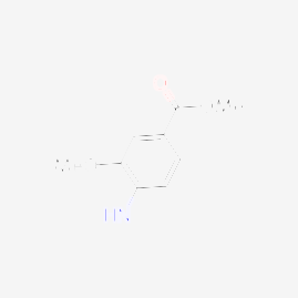 COC(=O)c1ccc([NH])c(OC)c1